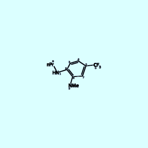 CCCNc1ccc(C(F)(F)F)cc1NC